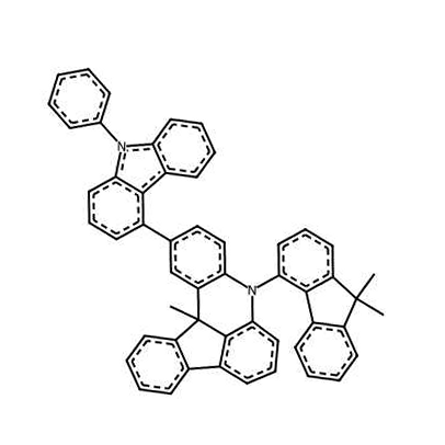 CC1(C)c2ccccc2-c2c(N3c4ccc(-c5cccc6c5c5ccccc5n6-c5ccccc5)cc4C4(C)c5ccccc5-c5cccc3c54)cccc21